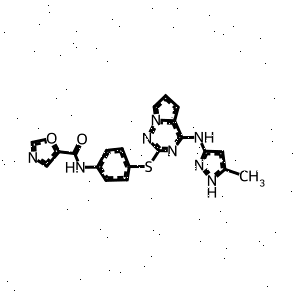 Cc1cc(Nc2nc(Sc3ccc(NC(=O)c4cnco4)cc3)nn3cccc23)n[nH]1